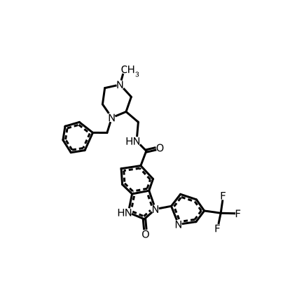 CN1CCN(Cc2ccccc2)C(CNC(=O)c2ccc3[nH]c(=O)n(-c4ccc(C(F)(F)F)cn4)c3c2)C1